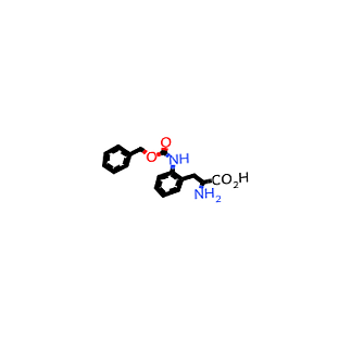 NC(Cc1ccccc1NC(=O)OCc1ccccc1)C(=O)O